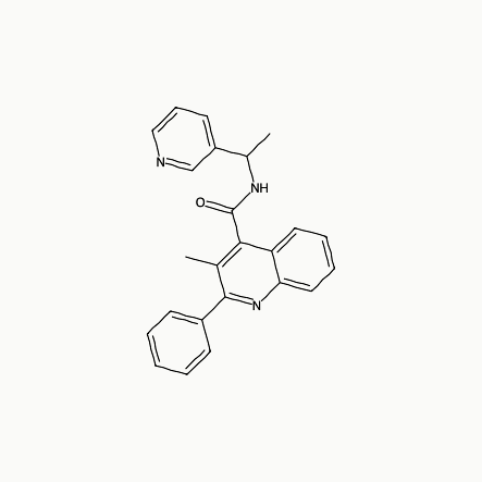 Cc1c(-c2ccccc2)nc2ccccc2c1C(=O)NC(C)c1cccnc1